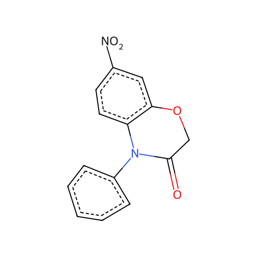 O=C1COc2cc([N+](=O)[O-])ccc2N1c1ccccc1